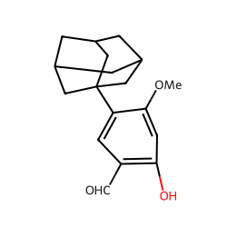 COc1cc(O)c(C=O)cc1C12CC3CC(CC(C3)C1)C2